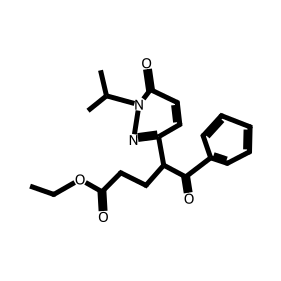 CCOC(=O)CCC(C(=O)c1ccccc1)c1ccc(=O)n(C(C)C)n1